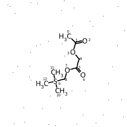 CC(=O)OCC(=O)OCS(C)(C)C